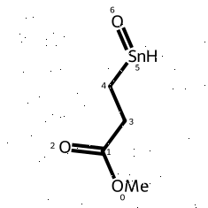 COC(=O)C[CH2][SnH]=[O]